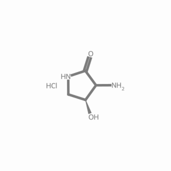 Cl.NC1C(=O)NC[C@@H]1O